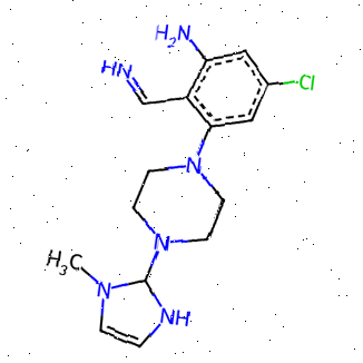 CN1C=CNC1N1CCN(c2cc(Cl)cc(N)c2C=N)CC1